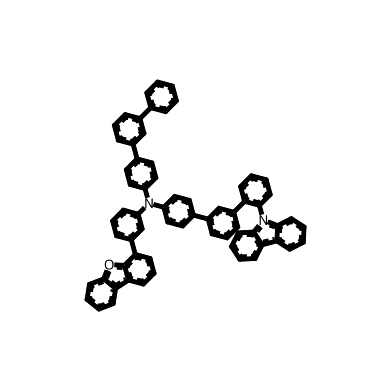 c1ccc(-c2cccc(-c3ccc(N(c4ccc(-c5cccc(-c6ccccc6-n6c7ccccc7c7ccccc76)c5)cc4)c4cccc(-c5cccc6c5oc5ccccc56)c4)cc3)c2)cc1